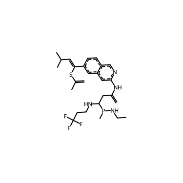 C=C(CC(NCCC(F)(F)F)P(C)NCC)Nc1cc2cc(/C(=C/C(C)C)SC(=C)C)ccc2cn1